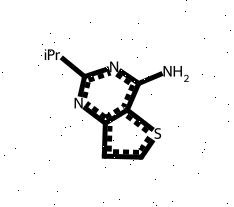 CC(C)c1nc(N)c2sccc2n1